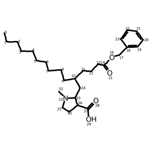 CCCCCCCCCCC(CCCC(=O)OCc1ccccc1)CC1C(C(=O)O)CCN1C